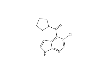 C=C(c1c(Cl)cnc2[nH]ccc12)C1CCCC1